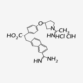 CC(=N)N1CC[C@H](Oc2ccc([C@H](Cc3ccc4ccc(C(=N)N)cc4c3)C(=O)O)cc2)C1.Cl.Cl